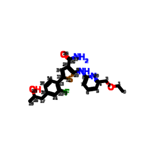 CCOCc1cccc(Nc2sc(-c3ccc(CC(C)O)cc3F)cc2C(N)=O)n1